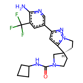 Nc1ncc(-c2cc3n(n2)CC[C@@]32CCN(C(=O)NC3CCC3)C2)cc1C(F)(F)F